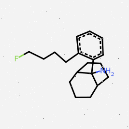 NC1(c2ccccc2CCCCF)C2CCCC1CCC2